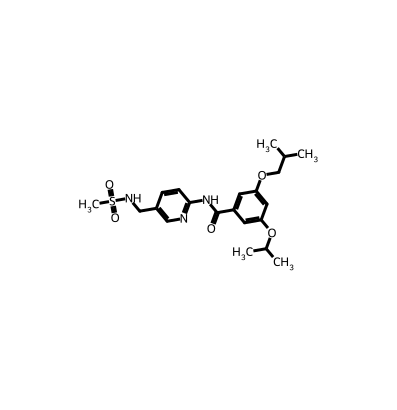 CC(C)COc1cc(OC(C)C)cc(C(=O)Nc2ccc(CNS(C)(=O)=O)cn2)c1